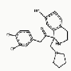 O=C(Cc1ccc(Cl)c(Cl)c1)C1(CN2CCCC2)NCCc2ccc(O)cc21